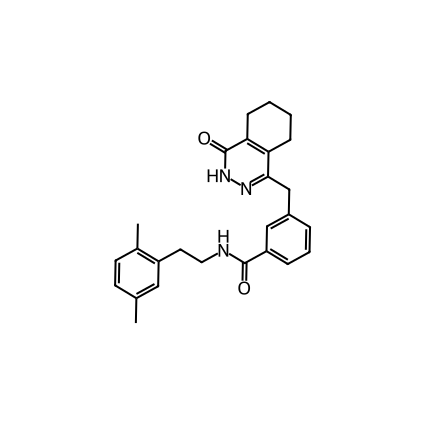 Cc1ccc(C)c(CCNC(=O)c2cccc(Cc3n[nH]c(=O)c4c3CCCC4)c2)c1